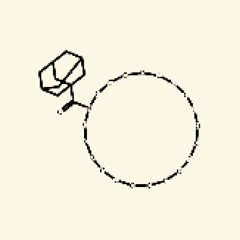 O=C(N1CCOCCOCCOCCOCCOCCOCC1)C12CC3CC(CC(C3)C1)C2